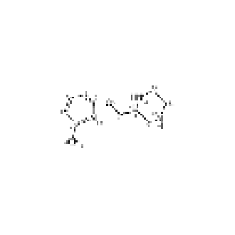 FC(F)(F)c1cccc(OC[C@@H]2CNCCN2)n1